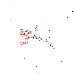 C=CCOCCCc1cc(-c2ccc(C3CCC(CCCCCCC)CC3)cc2CC)ccc1OCC(COC(=O)CC(=O)OCC)(COC(=O)CC(=O)OCC)COC(=O)C(=C)C